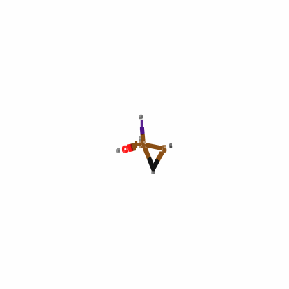 O=[SH]1(I)CS1